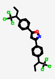 CCC(c1ccc(-c2cc(-c3ccc(C(CC)[Si](Cl)(Cl)Cl)cc3)on2)cc1)[Si](Cl)(Cl)Cl